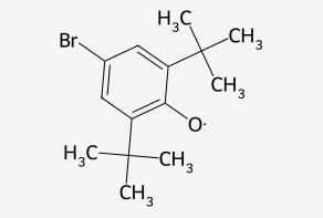 CC(C)(C)c1cc(Br)cc(C(C)(C)C)c1[O]